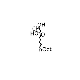 CCCCCCCCCCCCCC(=O)C(O)CC(O)Cl